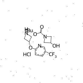 CC(C)(C)OC(=O)N1CC(O)C1.Cl.FC(F)(F)c1ccc(OC2CNC2)nc1